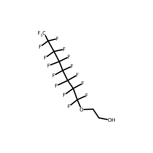 OCCOC(F)(F)C(F)(F)C(F)(F)C(F)(F)C(F)(F)C(F)(F)C(F)(F)C(F)(F)F